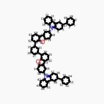 c1ccc(-c2ccc3c(c2)c2ccccc2n3-c2ccc3oc4c(-c5cccc(-c6cccc7c6oc6ccc(-n8c9ccccc9c9cc(-c%10ccccc%10)ccc98)cc67)c5)cccc4c3c2)cc1